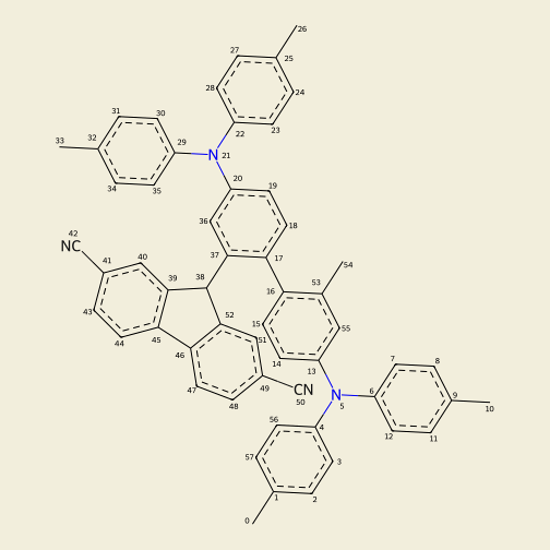 Cc1ccc(N(c2ccc(C)cc2)c2ccc(-c3ccc(N(c4ccc(C)cc4)c4ccc(C)cc4)cc3C3c4cc(C#N)ccc4-c4ccc(C#N)cc43)c(C)c2)cc1